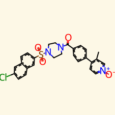 Cc1c[n+]([O-])ccc1-c1ccc(C(=O)N2CCN(S(=O)(=O)c3ccc4cc(Cl)ccc4c3)CC2)cc1